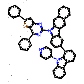 c1ccc(-c2cc3nc(-n4c5ccc(-c6cccc7c8ccccc8n(-c8ccncc8)c67)cc5c5cc6ccccc6cc54)nc(-c4ccccc4)c3s2)cc1